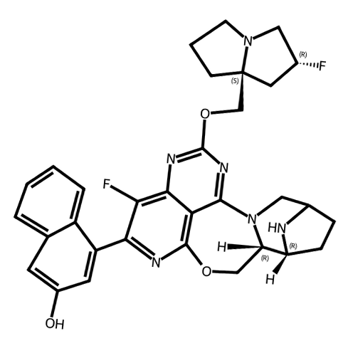 Oc1cc(-c2nc3c4c(nc(OC[C@@]56CCCN5C[C@H](F)C6)nc4c2F)N2CC4CC[C@@H](N4)[C@@H]2CO3)c2ccccc2c1